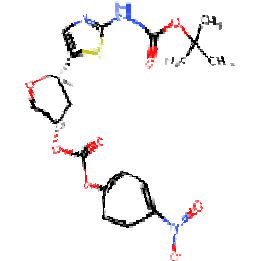 CC(C)(C)OC(=O)Nc1ncc([C@@H]2C[C@H](OC(=O)Oc3ccc([N+](=O)[O-])cc3)CO2)s1